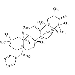 CC1C[C@]2(C)C3=CC(=O)[C@@H]4[C@@H]5CC(C)(C)CC[C@]5(C(=O)n5ccnc5)CC[C@@]4(C)[C@]3(C)CC[C@H]2C(C)(C)C1=O